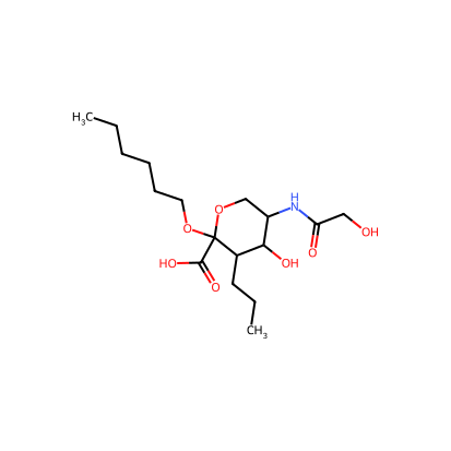 CCCCCCOC1(C(=O)O)OCC(NC(=O)CO)C(O)C1CCC